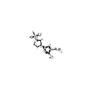 CS(=O)(=O)N1CC[C@H](n2cc(N)c(Cl)n2)C1